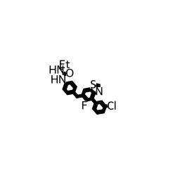 CCNC(=O)Nc1ccc(Cc2cc3scnc3c(-c3cccc(Cl)c3)c2F)cc1